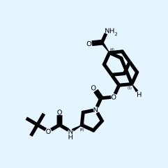 CC(C)(C)OC(=O)N[C@@H]1CCN(C(=O)OC2C3CC4C[C@H]2C[C@@](C(N)=O)(C4)C3)C1